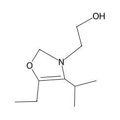 CCC1=C(C(C)C)N(CCO)CO1